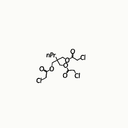 CCCC(COC(=O)CCl)(COC(=O)CCl)COC(=O)CCl